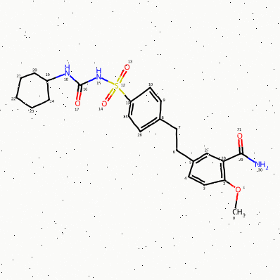 COc1ccc(CCc2ccc(S(=O)(=O)NC(=O)NC3CCCCC3)cc2)cc1C(N)=O